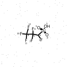 O=S(=O)(O)C(F)C(F)(F)C(F)(F)F